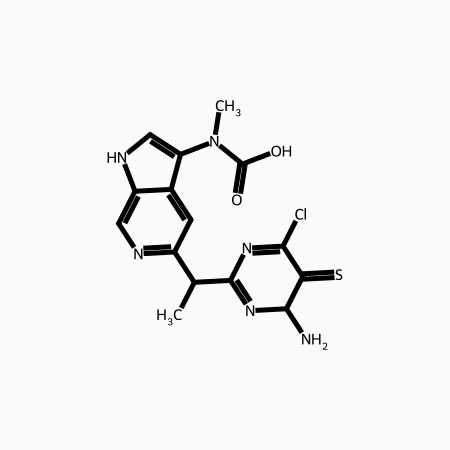 CC(C1=NC(N)C(=S)C(Cl)=N1)c1cc2c(N(C)C(=O)O)c[nH]c2cn1